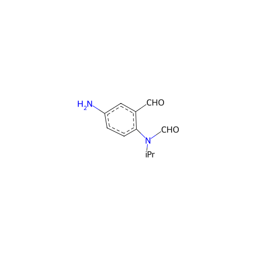 CC(C)N(C=O)c1ccc(N)cc1C=O